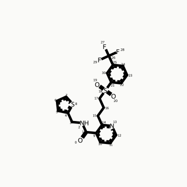 O=C(NCc1cccs1)c1cccnc1CCCS(=O)(=O)c1cccc(C(F)(F)F)c1